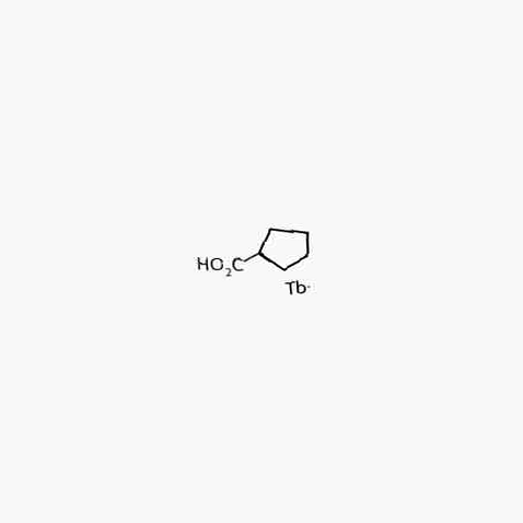 O=C(O)C1CCCC1.[Tb]